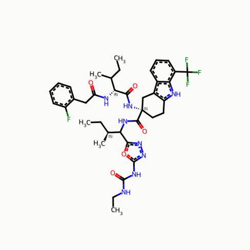 CCNC(=O)Nc1nnc(C(NC(=O)[C@]2(NC(=O)[C@H](NC(=O)Cc3ccccc3F)C(C)CC)CCc3[nH]c4c(C(F)(F)F)cccc4c3C2)[C@@H](C)CC)o1